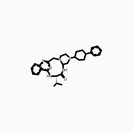 CC(C)[C@@H]1Nc2nc(nc3ccccc23)CN2CCN(C3CCC(c4ccccc4)CC3)CC2NC1=O